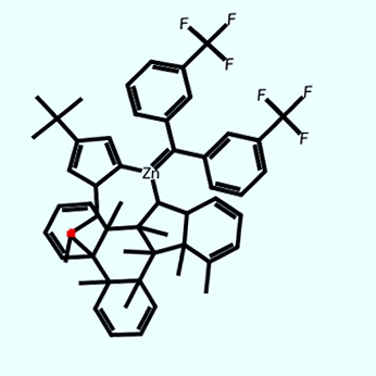 CCCC1C=C(C(C)(C)C)C=[C]1[Zn](=[C](c1cccc(C(F)(F)F)c1)c1cccc(C(F)(F)F)c1)[CH]1C2C=CC=C(C)C2(C)C2(C)C3(C)C=CC=CC3(C)C3(C)C=CC=CC3(C)C12C